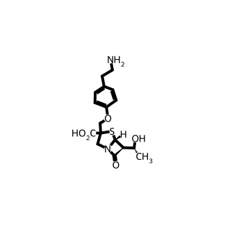 C[C@@H](O)[C@H]1C(=O)N2CC(COc3ccc(CCN)cc3)(C(=O)O)S[C@H]12